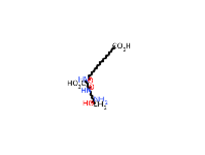 C=C(O)[C@@H](N)CCCCNC(=O)CC[C@H](NC(=O)CCCCCCCCCCCCCCCCCCC(=O)O)C(=O)O